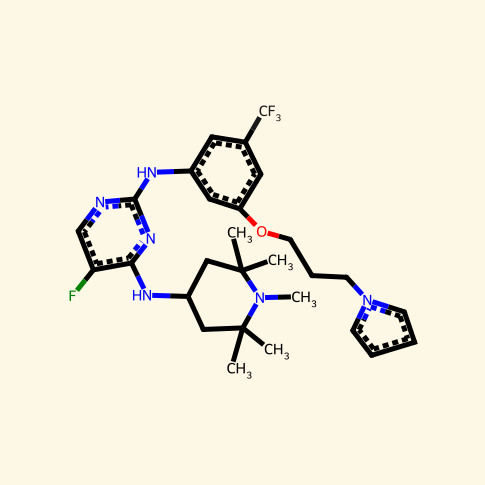 CN1C(C)(C)CC(Nc2nc(Nc3cc(OCCCn4cccc4)cc(C(F)(F)F)c3)ncc2F)CC1(C)C